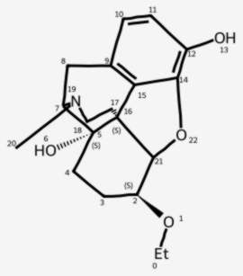 CCO[C@H]1CC[C@@]2(O)C3Cc4ccc(O)c5c4[C@@]2(CCN3C)C1O5